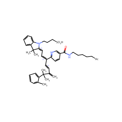 C=C(/C=C/C(=C/C=C1/N(CCCS(=O)(=O)O)c2ccccc2C1(C)C)c1ccc(C(=O)NCCCCCC(C)=O)cn1)C(C)(C)c1ccccc1C